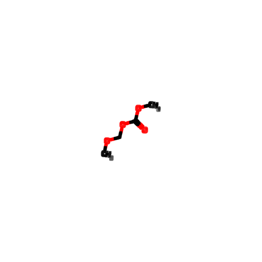 COCOC(=O)OC